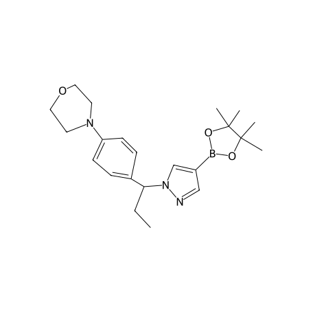 CCC(c1ccc(N2CCOCC2)cc1)n1cc(B2OC(C)(C)C(C)(C)O2)cn1